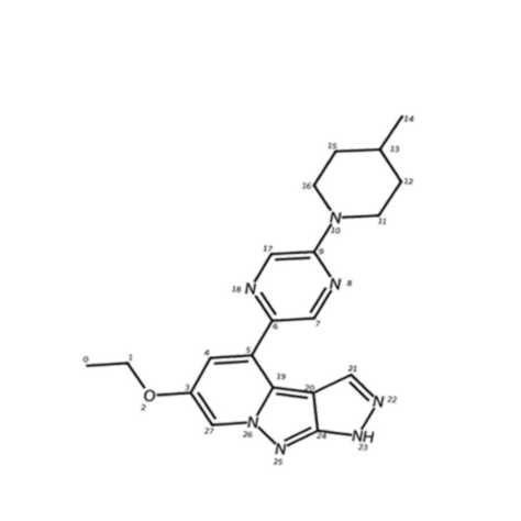 CCOc1cc(-c2cnc(N3CCC(C)CC3)cn2)c2c3cn[nH]c3nn2c1